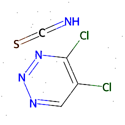 Clc1cnnnc1Cl.N=C=S